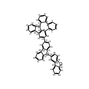 c1ccc2c(c1)-c1ccccc1-n1c3ccccc3c3cc(-c4ccc5c(c4)c4ccccc4n5-c4ccc5oc6ccccc6c5c4)cc-2c31